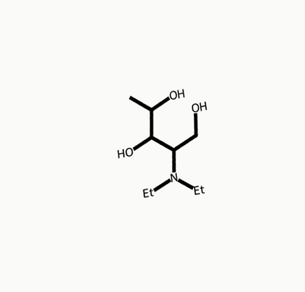 CCN(CC)C(CO)C(O)C(C)O